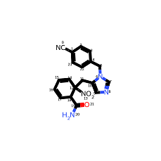 N#Cc1ccc(Cn2cncc2CC2([N+](=O)[O-])C=CC=CC2C(N)=O)cc1